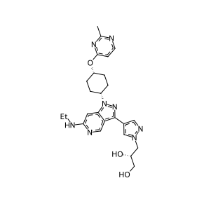 CCNc1cc2c(cn1)c(-c1cnn(C[C@@H](O)CO)c1)nn2[C@H]1CC[C@@H](Oc2ccnc(C)n2)CC1